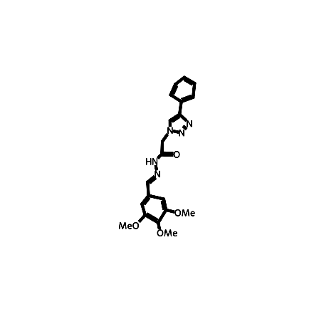 COc1cc(/C=N/NC(=O)Cn2cc(-c3ccccc3)nn2)cc(OC)c1OC